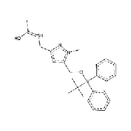 CC(O)=[SH]Cc1cc(CO[Si](c2ccccc2)(c2ccccc2)C(C)(C)C)n(C)n1